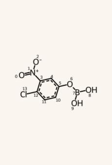 O=[N+]([O-])c1cc(OB(O)O)ccc1Cl